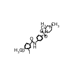 COc1ccc(C(=O)Nc2ccc(S(=O)(=O)N3CCN(C)CC3C)cc2)cc1I